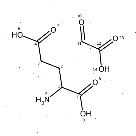 NC(CCC(=O)O)C(=O)O.O=CC(=O)O